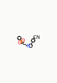 CC(C)(CCCN1CCC=C(c2ccc(C#N)cc2)C1)S(=O)(=O)c1ccccc1